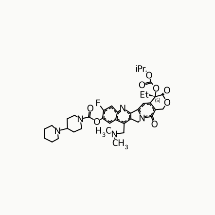 CC[C@@]1(OC(=O)OC(C)C)C(=O)OCc2c1cc1n(c2=O)Cc2c-1nc1cc(F)c(OC(=O)N3CCC(N4CCCCC4)CC3)cc1c2CN(C)C